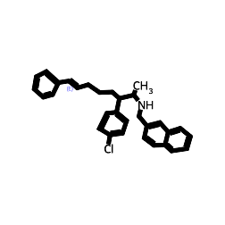 CC(NCc1ccc2ccccc2c1)C(CCC/C=C/c1ccccc1)c1ccc(Cl)cc1